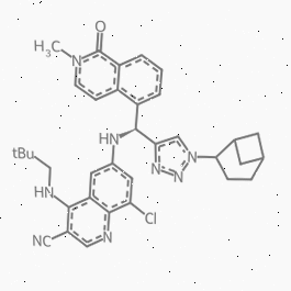 Cn1ccc2c([C@H](Nc3cc(Cl)c4ncc(C#N)c(NCC(C)(C)C)c4c3)c3cn(C4CCC5CC4C5)nn3)cccc2c1=O